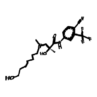 CN(CCCCCCCO)C[C@](C)(O)C(=O)Nc1ccc(C#N)c(C(F)(F)F)c1